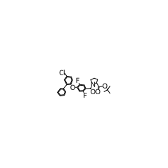 CC(C)(C)OC(=O)C1CCCN1C(=O)c1cc(F)c(Oc2ccc(Cl)cc2-c2ccccc2)cc1F